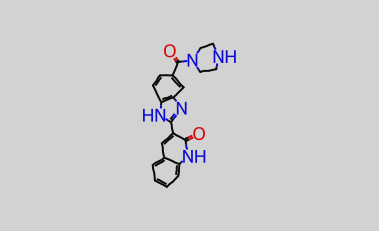 O=C(c1ccc2[nH]c(-c3cc4ccccc4[nH]c3=O)nc2c1)N1CCNCC1